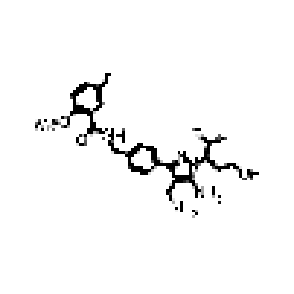 COc1ccc(F)cc1C(=O)NCc1ccc(-c2nn(C(CCO)C(F)F)c(N)c2CN)cc1